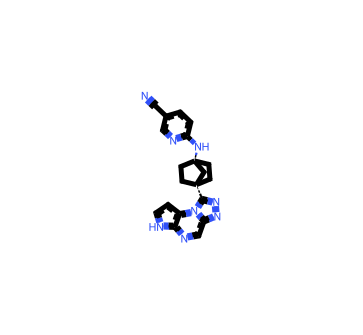 N#Cc1ccc(N[C@]23CC[C@](c4nnc5cnc6[nH]ccc6n54)(CC2)C3)nc1